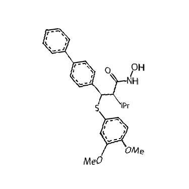 COc1ccc(SC(c2ccc(-c3ccccc3)cc2)C(C(=O)NO)C(C)C)cc1OC